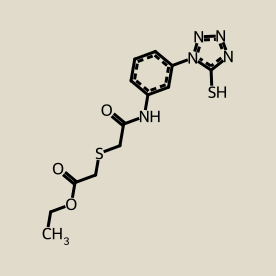 CCOC(=O)CSCC(=O)Nc1cccc(-n2nnnc2S)c1